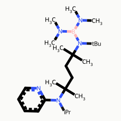 CC(C)N(c1ccccn1)C(C)(C)CCC(C)(C)N(B(N(C)C)N(C)C)C(C)(C)C